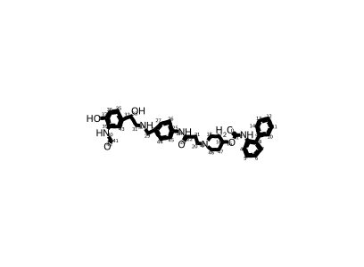 C=C(Nc1ccccc1-c1ccccc1)OC1CCN(CCC(=O)Nc2ccc(CNC[C@H](O)c3ccc(O)c(NC=O)c3)cc2)CC1